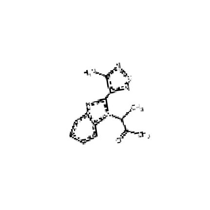 CC(=O)C(C)n1c(-c2nonc2N)nc2ccccc21